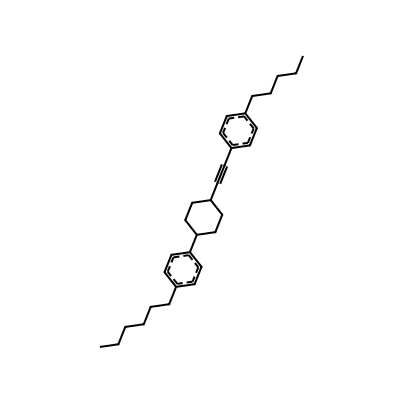 CCCCCCc1ccc(C2CCC(C#Cc3ccc(CCCCC)cc3)CC2)cc1